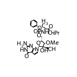 C#CC1(O)[C@@H](OC)[C@@H](COP(=O)(N[C@@H](C)C(=O)OC(C)C)Oc2ccccc2)O[C@H]1n1ccc2c(=O)[nH]c(N)nc21